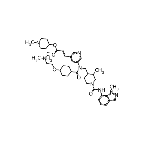 CC1CN(C(=O)Nc2cccc3cnn(C)c23)CCC1CN(C(=O)C1CCC(OCCN(C)C)CC1)c1cncc(/C=C/C(=O)OC2CCN(C)CC2)c1